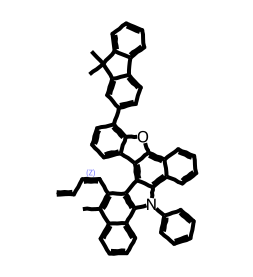 C=C/C=C\c1c(C)c2ccccc2c2c1c1c3c4cccc(-c5ccc6c(c5)C(C)(C)c5ccccc5-6)c4oc3c3ccccc3c1n2-c1ccccc1